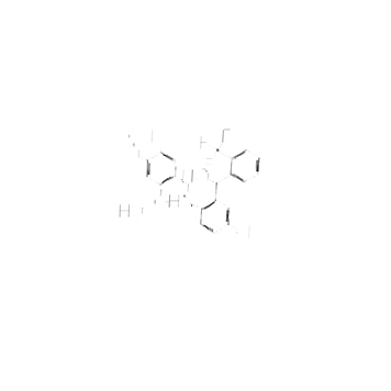 COc1ccc(CNc2ccc(Cl)cc2C(O)c2ccccc2C(F)(F)F)c(OC)c1